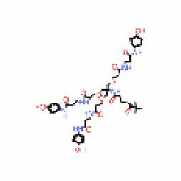 CC(C)(C)C(=O)CCCC(=O)NC(COCCC(=O)NCCC(=O)Nc1ccc(O)cc1)(COCCC(=O)NCCC(=O)Nc1ccc(O)cc1)COCCC(=O)NCCC(=O)Nc1ccc(O)cc1